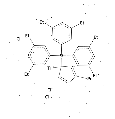 CCc1cc(CC)cc([Si](c2cc(CC)cc(CC)c2)(c2cc(CC)cc(CC)c2)[C]2([Ti+3])C=CC(C(C)C)=C2)c1.[Cl-].[Cl-].[Cl-]